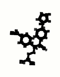 CCN(CC)CCN(C(=O)c1ccc(-n2ccnc2)cc1)c1ccc(OC)cc1